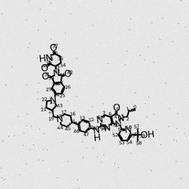 C=CCn1c(=O)c2cnc(Nc3ccc(C4CCN(CC5CCN(c6ccc7c(c6)C(=O)N(C6CCC(=O)NC6=O)C7=O)C5)CC4)cc3)nc2n1-c1cccc(C(C)(C)O)n1